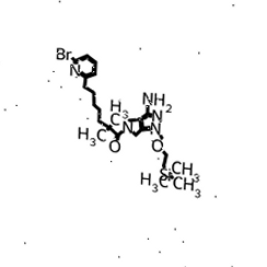 CC(C)(CCCCCc1cccc(Br)n1)C(=O)N1Cc2c(N)nn(COCC[Si](C)(C)C)c2C1